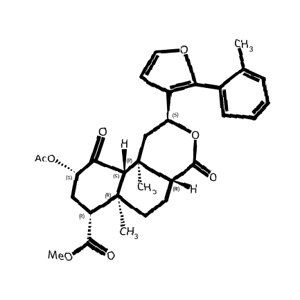 COC(=O)[C@@H]1C[C@H](OC(C)=O)C(=O)[C@H]2[C@@]1(C)CC[C@H]1C(=O)O[C@H](c3ccoc3-c3ccccc3C)C[C@]21C